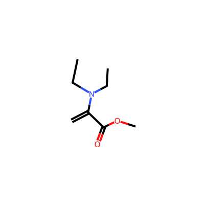 C=C(C(=O)OC)N(CC)CC